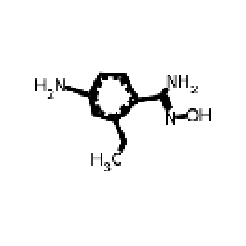 CCc1cc(N)ccc1C(N)=NO